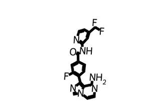 Nc1nccn2cnc(-c3ccc(C(=O)Nc4cc(C(F)F)ccn4)cc3F)c12